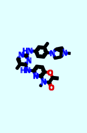 C=C1Oc2ccc(Nc3nc(Nc4ccc(N5CC6CC5CN6C)c(C)c4)ncc3C)nc2N(C)C1=O